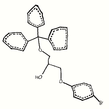 OC(COc1ccc(Br)cc1)COC(c1ccccc1)(c1ccccc1)c1ccccc1